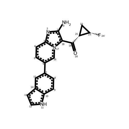 Nc1nc2ccc(-c3ccc4[nH]ccc4c3)cn2c1C(=O)[C@@H]1C[C@@H]1F